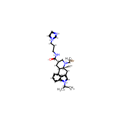 Br.CCN1C[C@H](C(=O)NCCCn2ccnc2)CC2c3cccc4c3c(cn4C(C)C)C[C@H]21